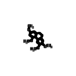 COc1cc2c(c(OC)c1)-c1cc(OC)c(OC)cc1CC2